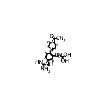 CC(=O)N1CCN(c2ccc(NC(=N)N)cc2C)CC1.O=C(O)O